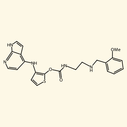 COc1ccccc1CNCCNC(=O)Oc1sccc1Nc1ccnc2[nH]ccc12